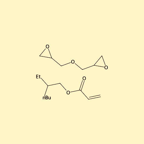 C(OCC1CO1)C1CO1.C=CC(=O)OCC(CC)CCCC